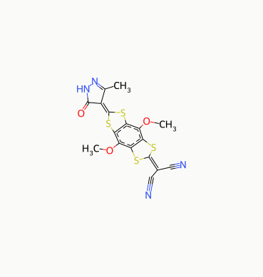 COc1c2c(c(OC)c3c1SC(=C1C(=O)NN=C1C)S3)SC(=C(C#N)C#N)S2